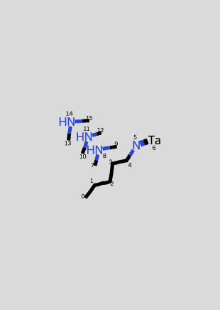 CCCCC[N]=[Ta].CNC.CNC.CNC